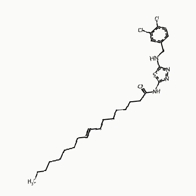 CCCCCCCCC=CCCCCCCCC(=O)Nc1nnc(NCc2ccc(Cl)c(Cl)c2)s1